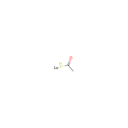 CC(=O)S.[Lu]